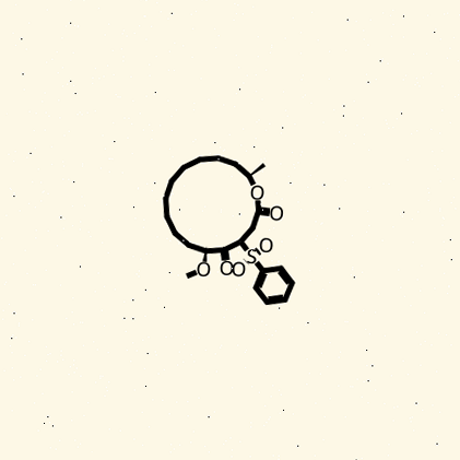 CO[C@H]1CCCCCCCCC[C@@H](C)OC(=O)CC(S(=O)(=O)c2ccccc2)C1=O